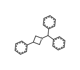 c1ccc(C2CN(C(c3ccccc3)c3ccccc3)C2)cc1